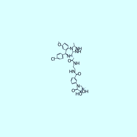 COc1ccc2c(c1)C(c1ccc(Cl)cc1)=N[C@@H](CC(=O)NCCNC(=O)c1cccc(N3C[C@@](C)(O)[C@@H](O)C3=O)c1)C1NNC(C)N21